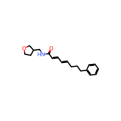 O=C(/C=C/C=C/CCCc1ccccc1)NCC1CCOC1